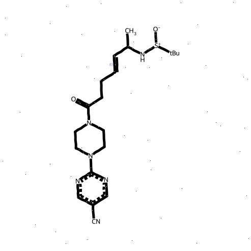 CC(/C=C/CCC(=O)N1CCN(c2ncc(C#N)cn2)CC1)N[S+]([O-])C(C)(C)C